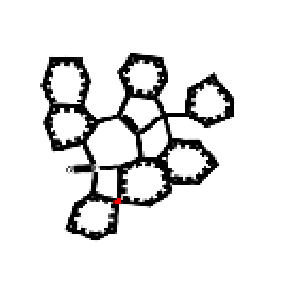 O=P1(c2ccccc2)c2ccccc2C2=C(c3ccccc3C2(c2ccccc2)c2ccccc2)c2c1ccc1ccccc21